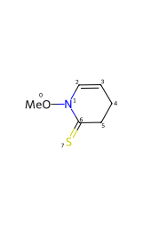 CON1C=CCCC1=S